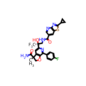 C[C@]1(C(N)=O)COc2c1cc([C@@](O)(CNC(=O)c1cnc3nc(C4CC4)sc3c1)C(F)(F)F)nc2-c1ccc(F)cc1